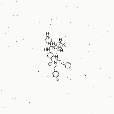 C[C@@H]1[C@@H](N=C(Nc2ccc3c(=O)n(CCc4ccc(F)cc4)c(CCc4ccccc4)nc3c2)N2CCN[C@@H](C)C2)C[C@H]2C[C@@H]1C2(C)C